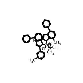 CC1=Cc2c(-c3ccccc3)ccc(C)c2[CH]1[Zr]([Cl])([Cl])([CH]1C(c2cccc(C)c2)=Cc2c(-c3ccccc3)cccc21)[SiH](C)C